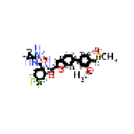 COc1cc(-c2ccc3cc(C(=O)NC4(C(=O)NC5(N)CC5)CCC(F)(F)CC4)oc3c2)ccc1C[S+](C)[O-]